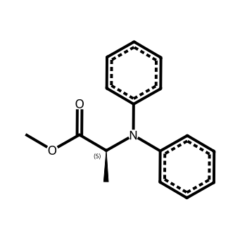 COC(=O)[C@H](C)N(c1ccccc1)c1ccccc1